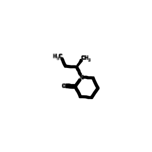 CC[C@@H](C)N1CCCCC1=O